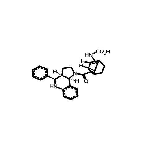 O=C(O)N[C@@H]1C2CCC(CC2)[C@@H]1C(=O)N1CC[C@@H]2[C@H](c3ccccc3)Nc3ccccc3[C@@H]21